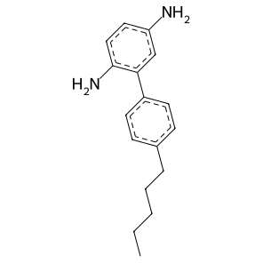 CCCCCc1ccc(-c2cc(N)ccc2N)cc1